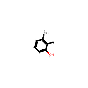 Cc1c(O)cccc1C(C)(C)C